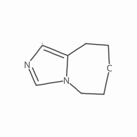 [c]1ncn2c1CCCCC2